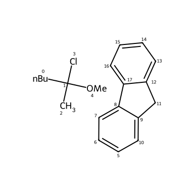 CCCCC(C)(Cl)OC.c1ccc2c(c1)Cc1ccccc1-2